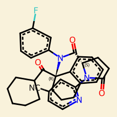 N#Cc1ccnc(N2C(=O)CC[C@H]2C(=O)N(c2cccc(F)c2)[C@]2(C(=O)C3CCCCC3)CCCc3ccccc32)c1